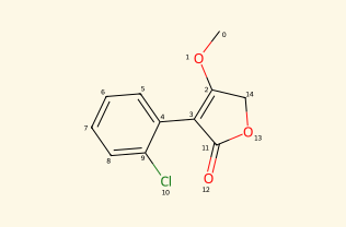 COC1=C(c2ccccc2Cl)C(=O)OC1